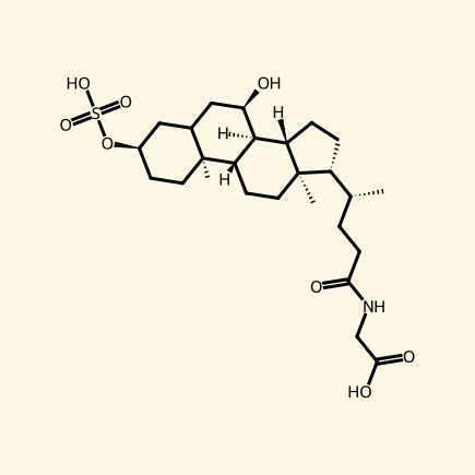 C[C@H](CCC(=O)NCC(=O)O)[C@H]1CC[C@H]2[C@@H]3[C@H](O)CC4C[C@H](OS(=O)(=O)O)CC[C@]4(C)[C@H]3CC[C@]12C